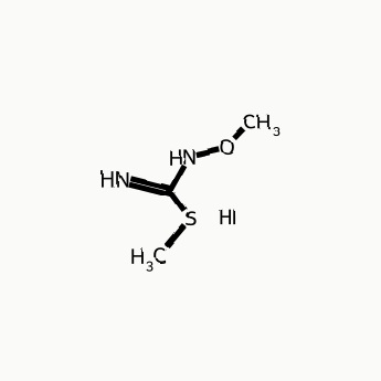 CONC(=N)SC.I